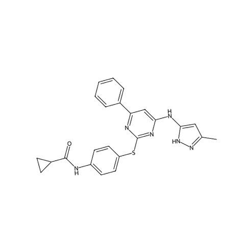 Cc1cc(Nc2cc(-c3ccccc3)nc(Sc3ccc(NC(=O)C4CC4)cc3)n2)[nH]n1